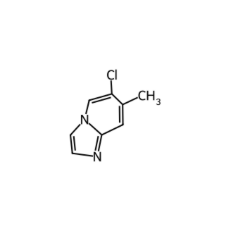 Cc1cc2nccn2cc1Cl